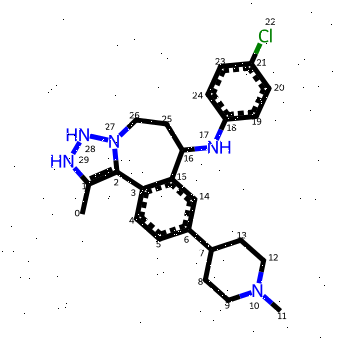 CC1=C2c3ccc(C4CCN(C)CC4)cc3C(Nc3ccc(Cl)cc3)CCN2NN1